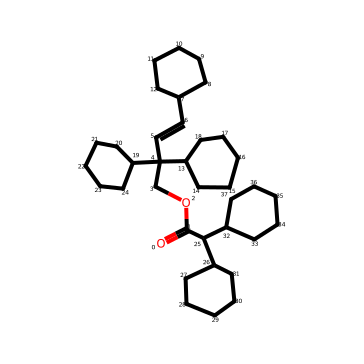 O=C(OCC(/C=C/C1CCCCC1)(C1CCCCC1)C1CCCCC1)C(C1CCCCC1)C1CCCCC1